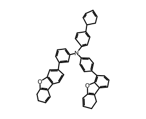 C1=CCC(c2ccc(N(c3ccc(-c4cccc5c6c(oc45)C=CCC6)cc3)c3cccc(-c4ccc5c6c(oc5c4)CCC=C6)c3)cc2)C=C1